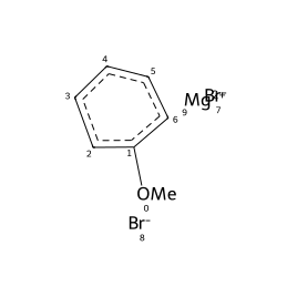 COc1ccccc1.[Br-].[Br-].[Mg+2]